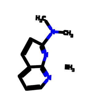 B.CN(C)c1ccc2cccnc2n1